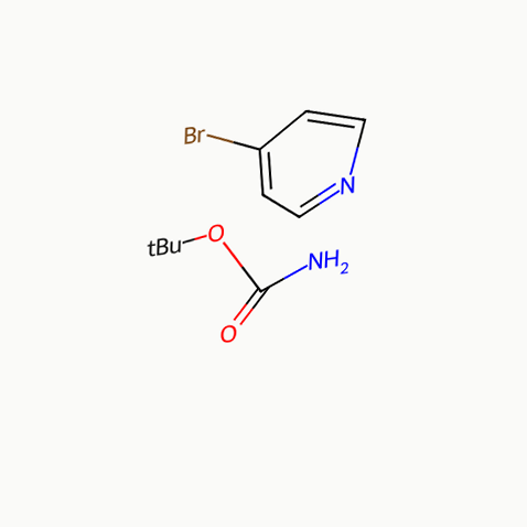 Brc1ccncc1.CC(C)(C)OC(N)=O